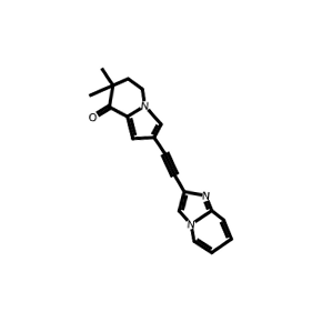 CC1(C)CCn2cc(C#Cc3cn4ccccc4n3)cc2C1=O